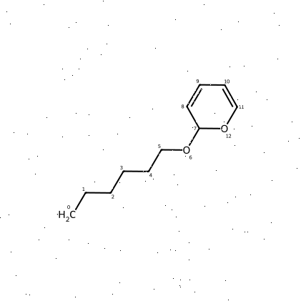 [CH2]CCCCCOC1C=CC=CO1